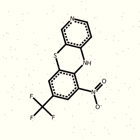 O=[N+]([O-])c1cc(C(F)(F)F)cc2c1Nc1ccncc1S2